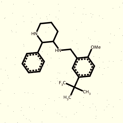 COc1ccc(C(C)(C)C(F)(F)F)cc1CNC1CCCNC1c1ccccc1